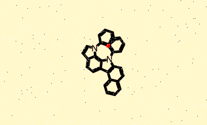 c1ccc(-n2ccc3ccc4c5c6ccccc6ccc5n(-c5ccccc5)c4c32)cc1